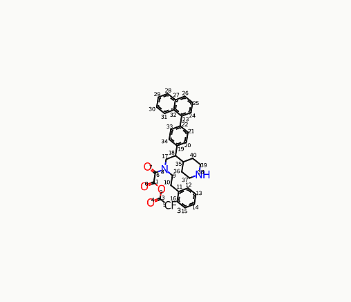 O=C(OC(=O)C(F)(F)F)C(=O)N(CCc1ccccc1)CC(c1ccc(-c2cccc3ccccc23)cc1)C1CCNCC1